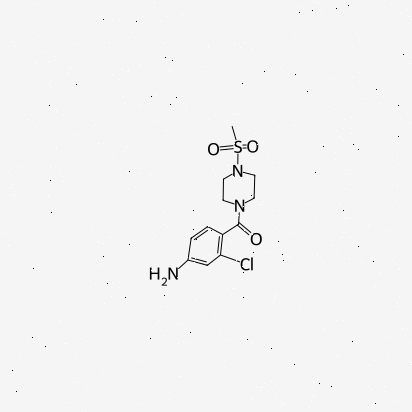 CS(=O)(=O)N1CCN(C(=O)c2ccc(N)cc2Cl)CC1